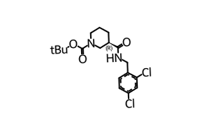 CC(C)(C)OC(=O)N1CCC[C@@H](C(=O)NCc2ccc(Cl)cc2Cl)C1